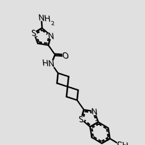 Cc1ccc2sc(C3CC4(CC(NC(=O)c5csc(N)n5)C4)C3)nc2c1